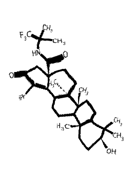 CC(C)C1=C2C3CCC4[C@@]5(C)CC[C@H](O)C(C)(C)C5CC[C@@]4(C)[C@]3(C)CC[C@@]2(C(=O)NC(C)(C)C(F)(F)F)CC1=O